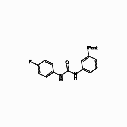 CCCC(C)c1cccc(NC(=O)Nc2ccc(F)cc2)c1